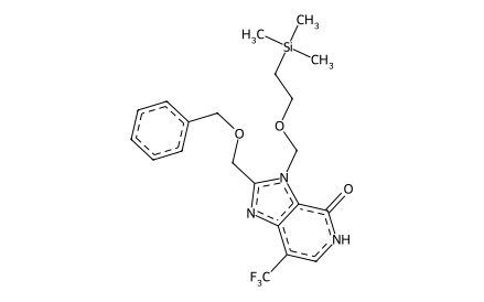 C[Si](C)(C)CCOCn1c(COCc2ccccc2)nc2c(C(F)(F)F)c[nH]c(=O)c21